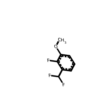 COc1cccc(C(F)F)c1F